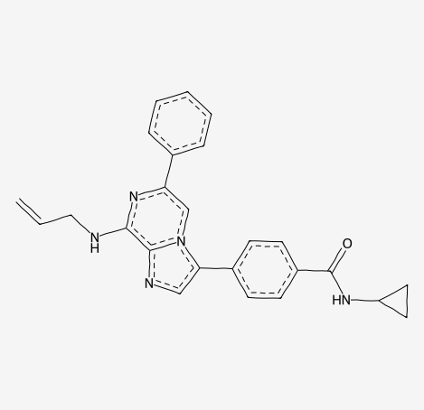 C=CCNc1nc(-c2ccccc2)cn2c(-c3ccc(C(=O)NC4CC4)cc3)cnc12